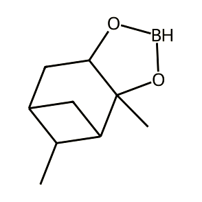 CC1C2CC3OBOC3(C)C1C2